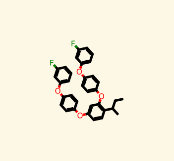 CCC(C)c1ccc(Oc2ccc(Oc3cccc(F)c3)cc2)cc1Oc1ccc(Oc2cccc(F)c2)cc1